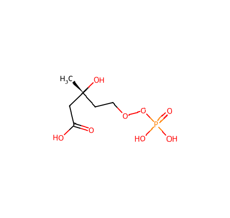 C[C@@](O)(CCOOP(=O)(O)O)CC(=O)O